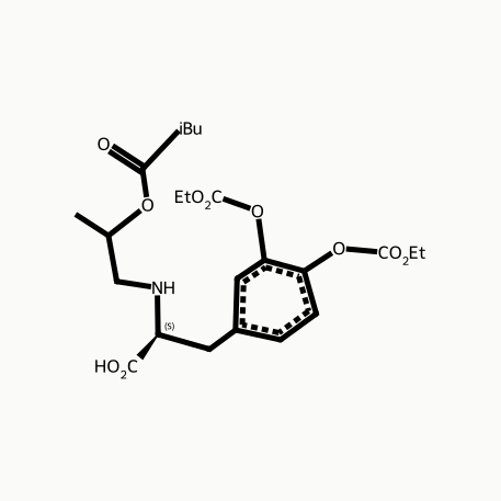 CCOC(=O)Oc1ccc(C[C@H](NCC(C)OC(=O)C(C)CC)C(=O)O)cc1OC(=O)OCC